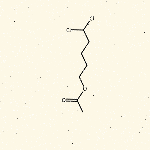 CC(=O)OCCCCC(Cl)Cl